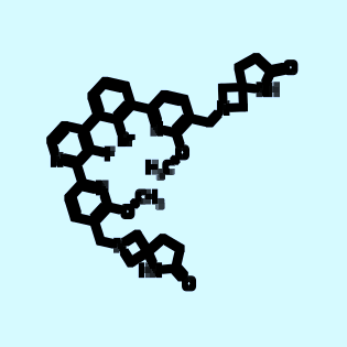 COc1nc(-c2cccc(-c3ccnc(-c4ccc(CN5CC6(CCC(=O)N6)C5)c(OC)n4)c3F)c2Br)ccc1CN1CC2(CCC(=O)N2)C1